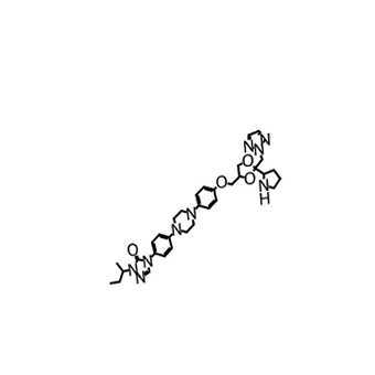 CCC(C)n1ncn(-c2ccc(N3CCN(c4ccc(OCC5COC(Cn6nccn6)(C6CCCN6)O5)cc4)CC3)cc2)c1=O